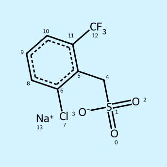 O=S(=O)([O-])Cc1c(Cl)cccc1C(F)(F)F.[Na+]